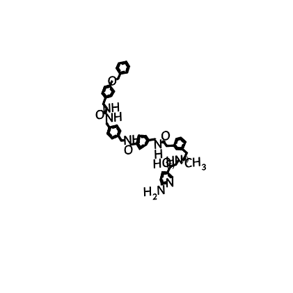 C[C@H](Cc1cccc(CC(=O)NCc2ccc(C(=O)NCc3ccc(CNC(=O)NCc4ccc(OCc5ccccc5)cc4)cc3)cc2)c1)NC[C@@H](O)c1ccc(N)nc1